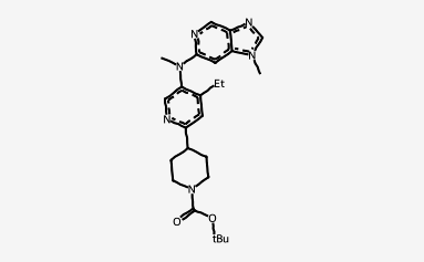 CCc1cc(C2CCN(C(=O)OC(C)(C)C)CC2)ncc1N(C)c1cc2c(cn1)ncn2C